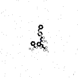 CC(=O)c1cc2c(/C(C)=C/C(=O)N3CCN(Cc4ccccc4)CC3)ccc(OC(C)c3ccccc3)c2o1